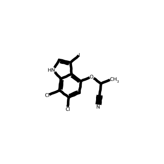 CC(C#N)Oc1cc(Cl)c(Cl)c2[nH]cc(I)c12